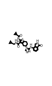 O=C1NCc2c(Nc3nncn3[C@H]3CCc4sc(NC(=O)C5CC5)c(C(=O)NCC5CC5)c4C3)cccc21